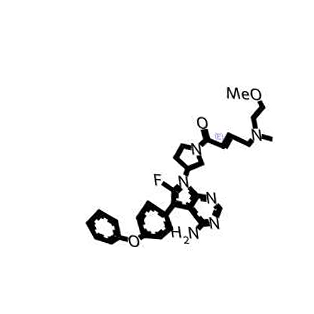 COCCN(C)C/C=C/C(=O)N1CCC(n2c(F)c(-c3ccc(Oc4ccccc4)cc3)c3c(N)ncnc32)C1